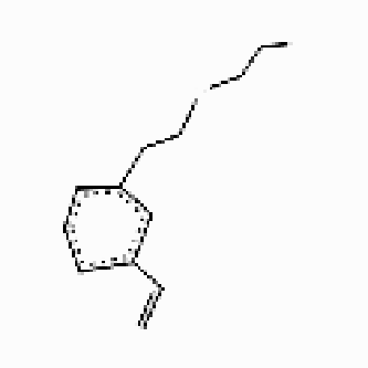 C=Cc1cccc(CCOCCCl)c1